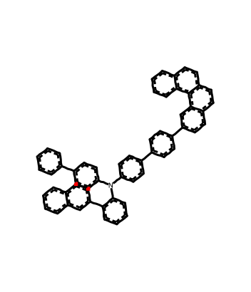 c1ccc(-c2ccc(N(c3ccc(-c4ccc(-c5ccc6ccc7ccc8ccccc8c7c6c5)cc4)cc3)c3ccccc3-c3ccc4ccccc4c3)cc2)cc1